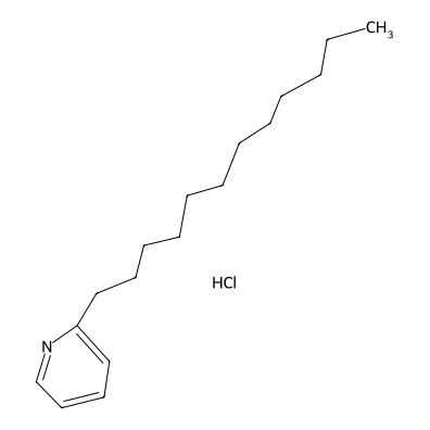 CCCCCCCCCCCCc1ccccn1.Cl